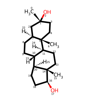 C[C@@]1(O)CC[C@@]2(C)[C@@H](CC[C@@H]3[C@@H]2CC[C@]2(C)[C@@H](O)CC[C@@H]32)C1